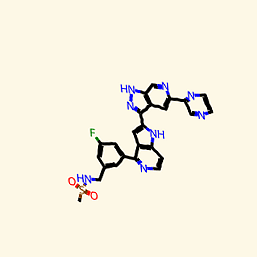 CS(=O)(=O)NCc1cc(F)cc(-c2nccc3[nH]c(-c4n[nH]c5cnc(-c6cnccn6)cc45)cc23)c1